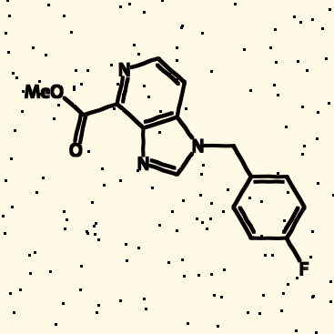 COC(=O)c1nccc2c1ncn2Cc1ccc(F)cc1